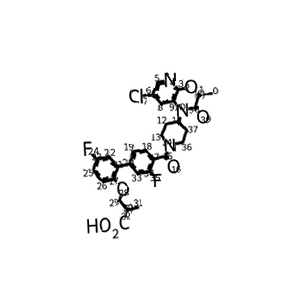 C[C@@H]1Oc2ncc(Cl)cc2N(C2CCN(C(=O)c3ccc(-c4cc(F)ccc4OC[C@H](C)C(=O)O)cc3F)CC2)C1=O